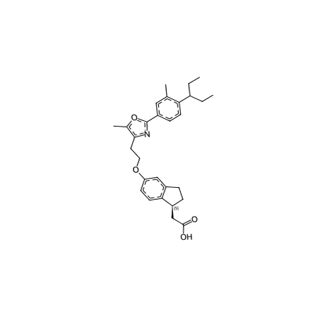 CCC(CC)c1ccc(-c2nc(CCOc3ccc4c(c3)CC[C@H]4CC(=O)O)c(C)o2)cc1C